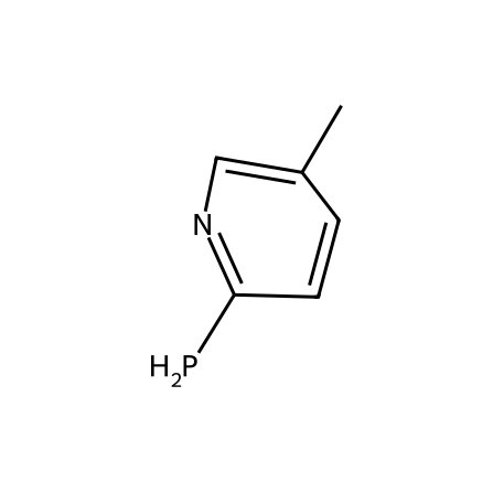 Cc1ccc(P)nc1